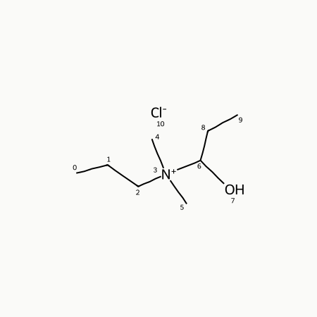 CCC[N+](C)(C)C(O)CC.[Cl-]